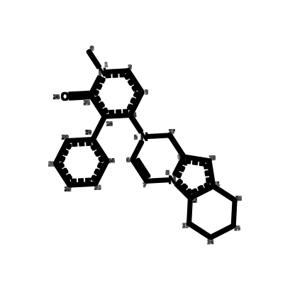 Cn1ccc(N2C=Cn3c(cc4c3CCCC4)C2)c(-c2ccccc2)c1=O